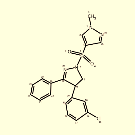 Cn1cc(S(=O)(=O)N2CC(c3cccc(Cl)c3)C(c3ccccc3)=N2)cn1